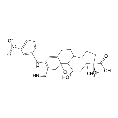 CC12CC(C=N)=C(Nc3cccc([N+](=O)[O-])c3)C=C1CCC1C2C(O)CC2(C)C1CC[C@]2(O)C(=O)O